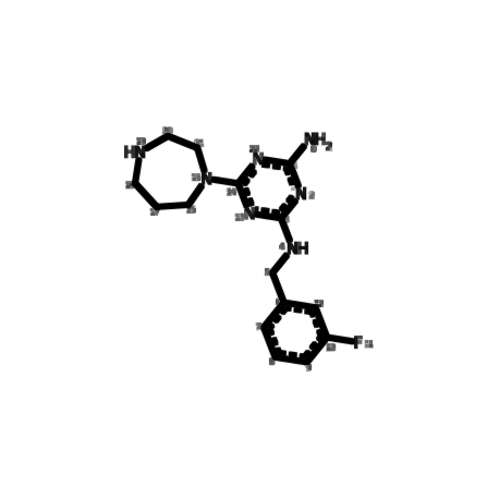 Nc1nc(NCc2cccc(F)c2)nc(N2CCCNCC2)n1